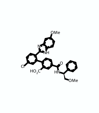 COC[C@@H](NC(=O)c1ccc(-c2cc(Cl)ccc2-c2nc3cc(OC)ccc3[nH]2)c(C(=O)O)c1)c1ccccc1